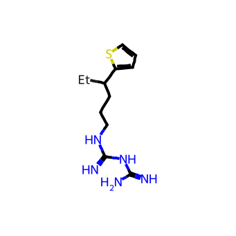 CCC(CCCNC(=N)NC(=N)N)c1cccs1